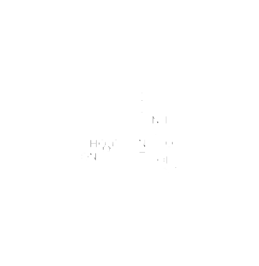 O.O=C(O)c1cc(=O)[nH]c(=O)[nH]1.O=N[O-].[K+]